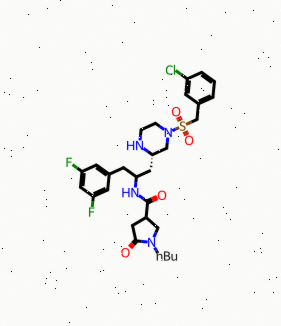 CCCCN1CC(C(=O)NC(Cc2cc(F)cc(F)c2)C[C@H]2CN(S(=O)(=O)Cc3cccc(Cl)c3)CCN2)CC1=O